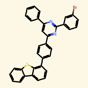 Brc1cccc(-c2nc(-c3ccccc3)cc(-c3ccc(-c4cccc5c4sc4ccccc45)cc3)n2)c1